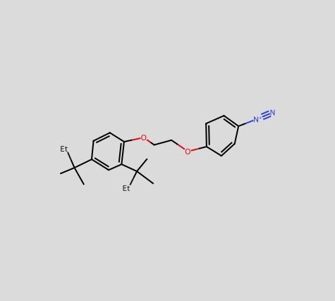 CCC(C)(C)c1ccc(OCCOc2ccc([N+]#N)cc2)c(C(C)(C)CC)c1